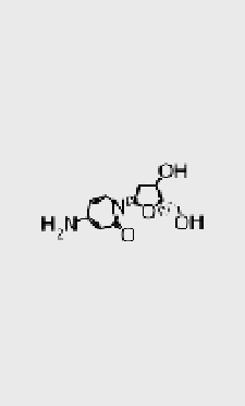 Nc1ccn([C@@H]2CC(O)[C@H](CO)O2)c(=O)c1